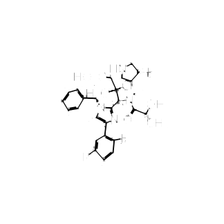 C[C@H](O)C(=O)N(C[C@@H]1CNC[C@@H]1F)[C@@H](c1nc(-c2cc(F)ccc2F)cn1Cc1ccccc1)C(C)(C)CC(=O)O